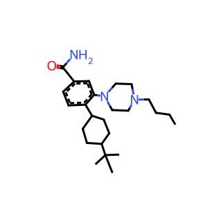 CCCCN1CCN(c2cc(C(N)=O)ccc2C2CCC(C(C)(C)C)CC2)CC1